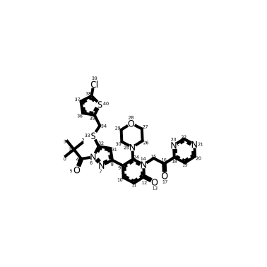 CC(C)(C)C(=O)n1nc(-c2ccc(=O)n(CC(=O)c3ccncn3)c2N2CCOCC2)cc1SCc1ccc(Cl)s1